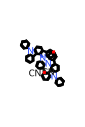 N#Cc1ccc(-n2c3ccccc3c3ccc4c(c5ccccc5n4-c4ccccc4)c32)c(-n2c3ccccc3c3ccc4c(c5ccccc5n4-c4ccccc4)c32)c1C#N